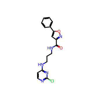 O=C(NCCCNc1ccnc(Cl)n1)c1cc(-c2ccccc2)on1